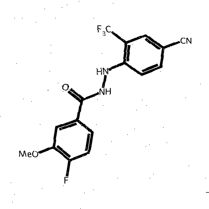 COc1cc(C(=O)NNc2ccc(C#N)cc2C(F)(F)F)ccc1F